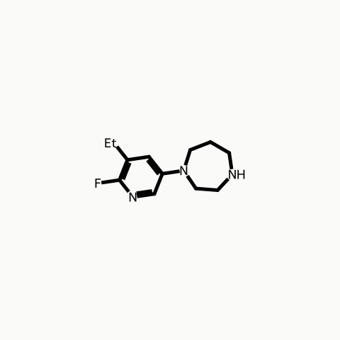 CCc1cc(N2CCCNCC2)cnc1F